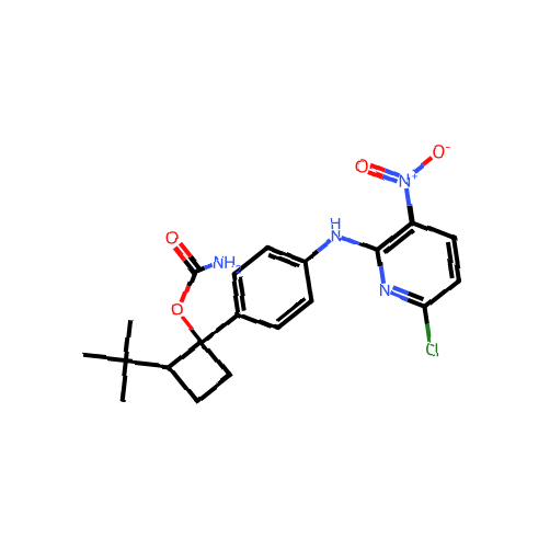 CC(C)(C)C1CCC1(OC(N)=O)c1ccc(Nc2nc(Cl)ccc2[N+](=O)[O-])cc1